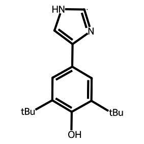 CC(C)(C)c1cc(-c2c[nH][c]n2)cc(C(C)(C)C)c1O